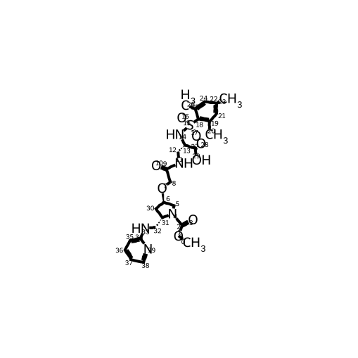 COC(=O)N1C[C@H](OCC(=O)NC[C@H](NS(=O)(=O)c2c(C)cc(C)cc2C)C(=O)O)C[C@H]1CNc1ccccn1